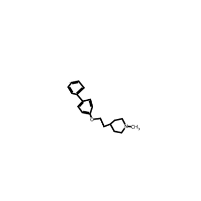 CN1CCC(CCOc2ccc(-c3cc[c]cc3)cc2)CC1